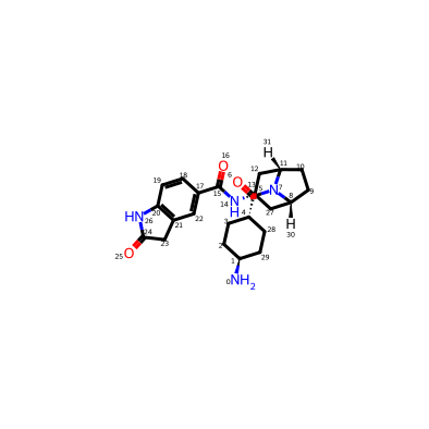 N[C@H]1CC[C@H](C(=O)N2[C@@H]3CC[C@H]2C[C@@H](NC(=O)c2ccc4c(c2)CC(=O)N4)C3)CC1